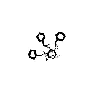 C[C@H]1OC(F)[C@H](OCc2ccccc2)[C@@H](OCc2ccccc2)[C@H]1OCc1ccccc1